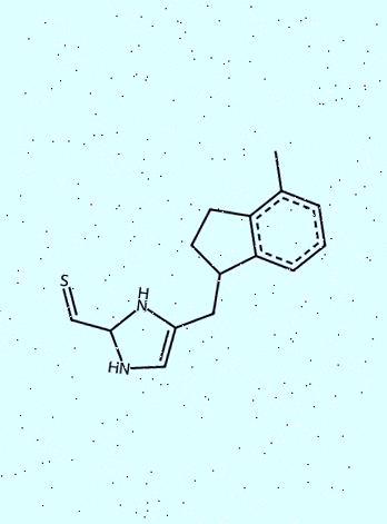 Cc1cccc2c1CCC2CC1=CNC(C=S)N1